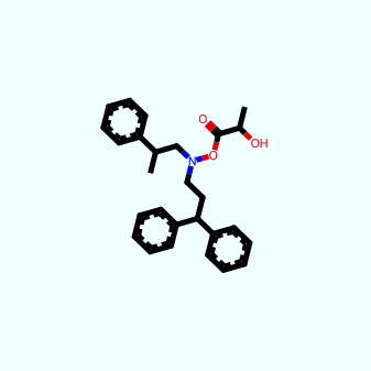 CC(O)C(=O)ON(CCC(c1ccccc1)c1ccccc1)CC(C)c1ccccc1